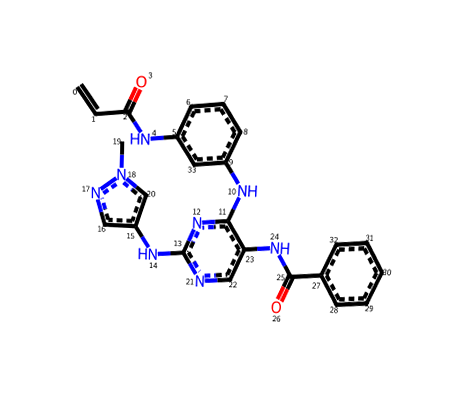 C=CC(=O)Nc1cccc(Nc2nc(Nc3cnn(C)c3)ncc2NC(=O)c2ccccc2)c1